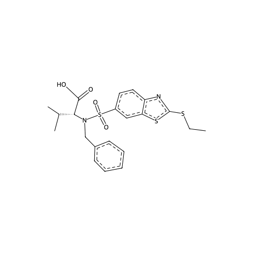 CCSc1nc2ccc(S(=O)(=O)N(Cc3ccccc3)[C@@H](C(=O)O)C(C)C)cc2s1